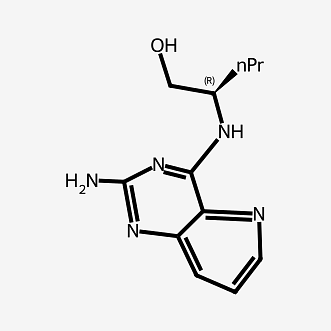 CCC[C@H](CO)Nc1nc(N)nc2cccnc12